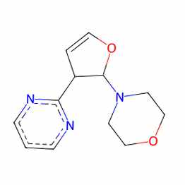 C1=CC(c2ncccn2)C(N2CCOCC2)O1